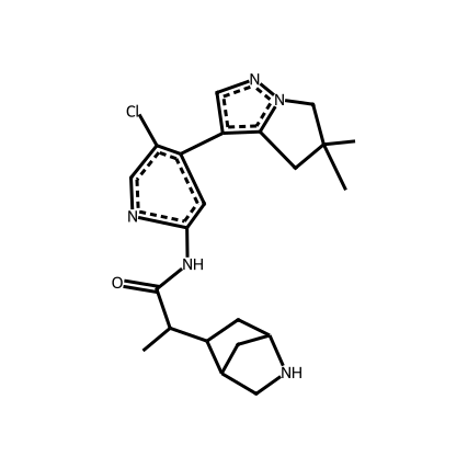 CC(C(=O)Nc1cc(-c2cnn3c2CC(C)(C)C3)c(Cl)cn1)C1CC2CC1CN2